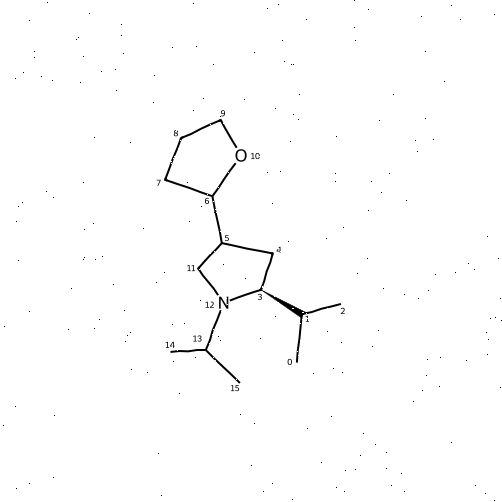 CC(C)[C@@H]1CC(C2CCCO2)CN1C(C)C